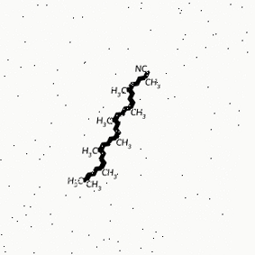 CC(C)=CCCC(C)=CCCC(C)=CCCC(C)=CCCC(C)=CCCC(C)=CCCC(C)=CCCC(C)CC#N